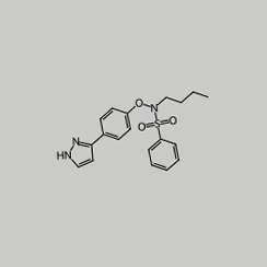 CCCCN(Oc1ccc(-c2cc[nH]n2)cc1)S(=O)(=O)c1ccccc1